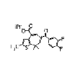 CC(C)OC(=O)C1=CN(C(=O)c2ccc(F)c(F)c2)CC(C)(C)c2sc(C(F)(F)F)cc21